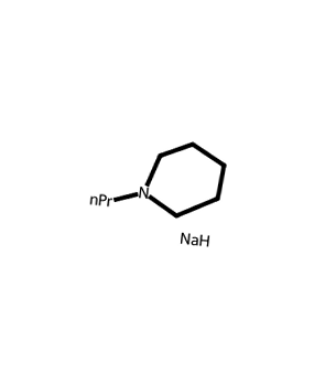 C[CH]CN1CCCCC1.[NaH]